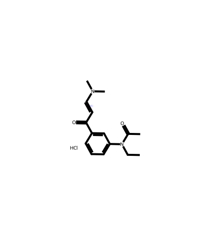 CCN(C(C)=O)c1cccc(C(=O)/C=C/N(C)C)c1.Cl